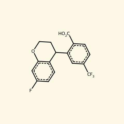 O=C(O)c1ccc(C(F)(F)F)cc1C1CCOc2cc(F)ccc21